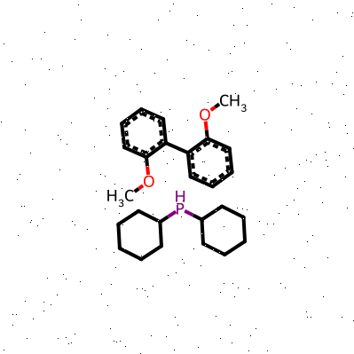 C1CCC(PC2CCCCC2)CC1.COc1ccccc1-c1ccccc1OC